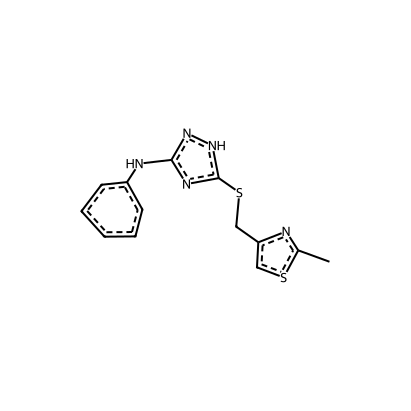 Cc1nc(CSc2nc(Nc3ccccc3)n[nH]2)cs1